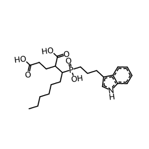 CCCCCCC(C(CCC(=O)O)C(=O)O)P(=O)(O)CCCc1c[nH]c2ccccc12